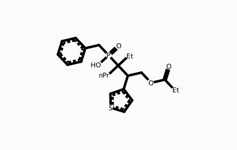 CCCC(CC)(C(COC(=O)CC)c1ccsc1)P(=O)(O)Cc1ccccc1